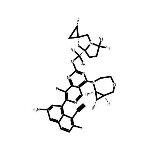 [2H]C1([2H])CC[C@@]2(C([2H])([2H])Oc3nc(N4CCOC[C@H]5[C@H](F)[C@H]54)c4cnc(-c5cc(N)cc6ccc(F)c(C#C)c56)c(F)c4n3)C[C@@]3(C[C@@H]3F)CN12